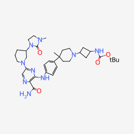 CN1CCN([C@@H]2CCCN(c3cnc(C(N)=O)c(Nc4ccc(C5(C)CCN(C6CC(NC(=O)OC(C)(C)C)C6)CC5)cc4)n3)C2)C1=O